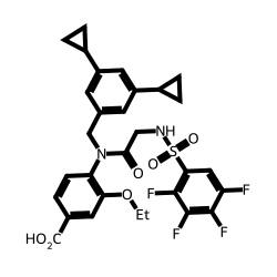 CCOc1cc(C(=O)O)ccc1N(Cc1cc(C2CC2)cc(C2CC2)c1)C(=O)CNS(=O)(=O)c1cc(F)c(F)c(F)c1F